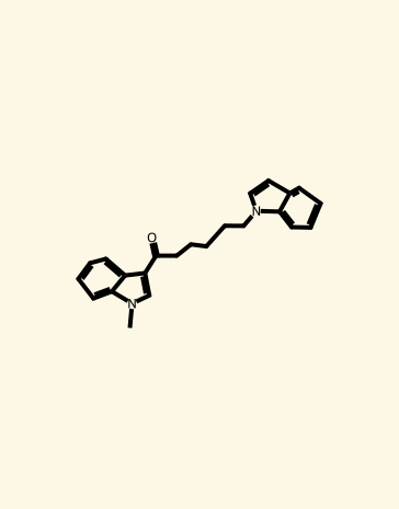 Cn1cc(C(=O)CCCCCn2ccc3ccccc32)c2ccccc21